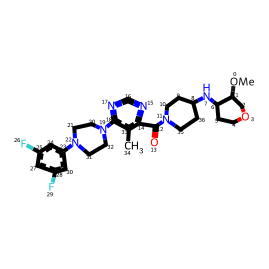 COC1COCCC1NC1CCN(C(=O)c2ncnc(N3CCN(c4cc(F)cc(F)c4)CC3)c2C)CC1